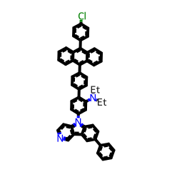 CCN(CC)c1cc(-n2c3ccncc3c3cc(-c4ccccc4)ccc32)ccc1-c1ccc(-c2c3ccccc3c(-c3ccc(Cl)cc3)c3ccccc23)cc1